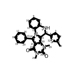 Cc1ccc(C2Nc3ccccc3-n3c(-c4ccccc4)c4c(=O)n(C)c(=O)n(C)c4c32)s1